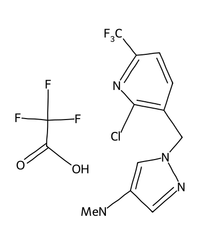 CNc1cnn(Cc2ccc(C(F)(F)F)nc2Cl)c1.O=C(O)C(F)(F)F